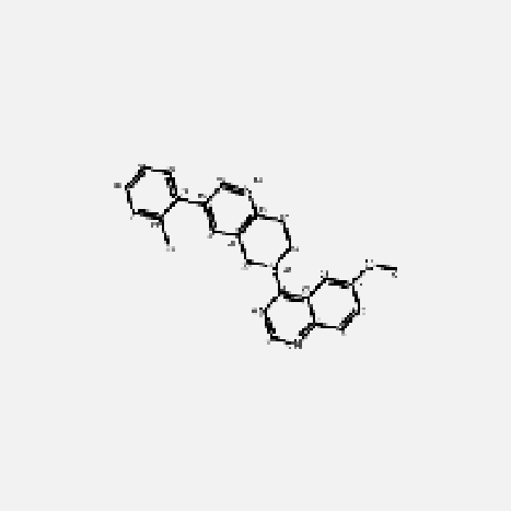 COc1ccc2ncnc(N3CCc4ncc(-c5ccccc5C)cc4C3)c2c1